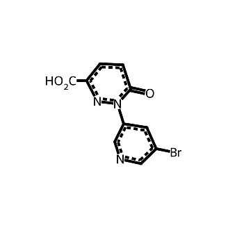 O=C(O)c1ccc(=O)n(-c2cncc(Br)c2)n1